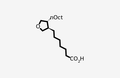 CCCCCCCC[C@H]1COC[C@@H]1CCCCCCC(=O)O